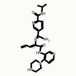 C=C/C=C(\N=C(/N)c1ccc(C(=O)NC(C)C)nc1)C(=O)Nc1cnccc1N1CCNCC1